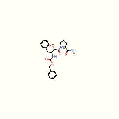 CC(C)(C)NC(=O)[C@@H]1CCCN1C(=O)C(O)C(Cc1ccccc1)NC(=O)OCc1ccccc1